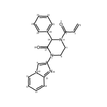 C=CC(=O)N1CCN(c2cn3ccccc3n2)C(=O)C1c1ccccc1